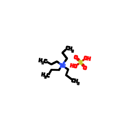 CCC[N+](CCC)(CCC)CCC.O=S(=O)(O)O